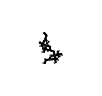 CCCO[Si](CCC[Si](OCCC)(C(C)(C)C)C(C)(C)C)(C(C)(C)C)C(C)(C)C